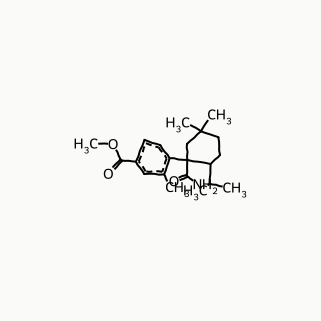 COC(=O)c1ccc(C2(C(N)=O)CC(C)(C)CCC2C(C)C)c(C)c1